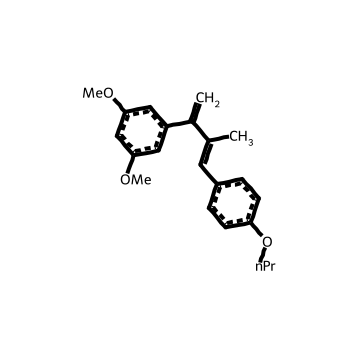 C=C(/C(C)=C/c1ccc(OCCC)cc1)c1cc(OC)cc(OC)c1